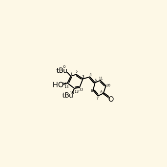 CC(C)(C)c1cc(C=C2C=CC(=O)C=C2)cc(C(C)(C)C)c1O